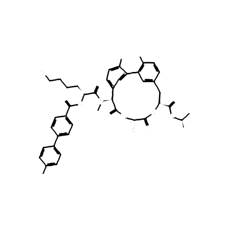 C[C@@H](C=O)NC(=O)[C@@H]1Cc2ccc(O)c(c2)-c2cc(ccc2O)[C@H](N(C)C(=O)[C@H](CCCCN)NC(=O)c2ccc(-c3ccc(Cl)cc3)cc2)C(=O)N[C@@H](N)C(=O)N1